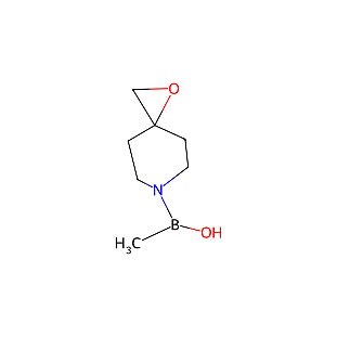 CB(O)N1CCC2(CC1)CO2